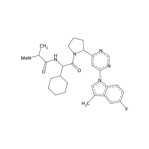 CNC(C)C(=O)NC(C(=O)N1CCCC1c1cc(-n2cc(C)c3cc(F)ccc32)ncn1)C1CCCCC1